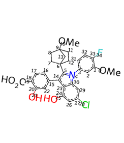 COc1cc(-n2c(C34CCC(OC)(CC3)C4)c(-c3ccc(C(=O)O)c(O)c3)c3c(O)cc(Cl)cc32)ccc1F